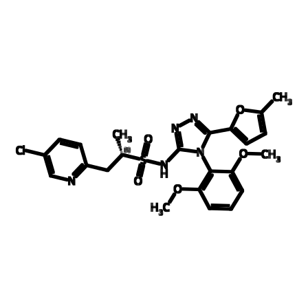 COc1cccc(OC)c1-n1c(NS(=O)(=O)[C@@H](C)Cc2ccc(Cl)cn2)nnc1-c1ccc(C)o1